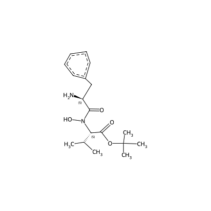 CC(C)[C@@H](C(=O)OC(C)(C)C)N(O)C(=O)[C@@H](N)Cc1ccccc1